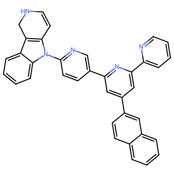 C1=Cc2c(c3ccccc3n2-c2ccc(-c3cc(-c4ccc5ccccc5c4)cc(-c4ccccn4)n3)cn2)CN1